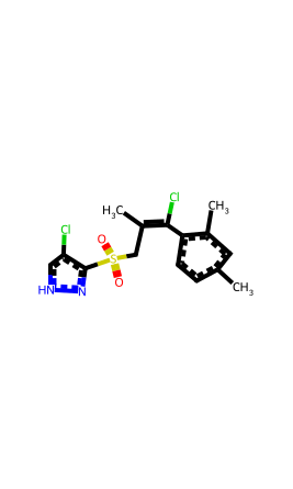 CC(CS(=O)(=O)c1n[nH]cc1Cl)=C(Cl)c1ccc(C)cc1C